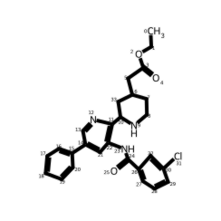 CCOC(=O)CC1CCNC(c2ncc(-c3ccccc3)cc2NC(=O)c2cccc(Cl)c2)C1